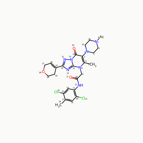 CC(=O)N1CCN(c2c(C)n(CC(=O)Nc3cc(Cl)c(C)cc3Cl)c3nc(C4=CCOCC4)nn3c2=O)CC1